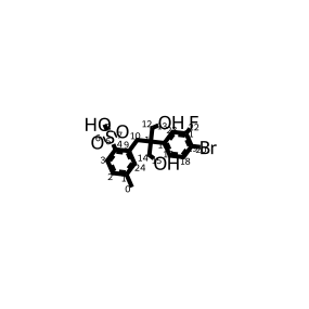 Cc1ccc(S(=O)(=O)O)c(CC(CO)(CO)c2ccc(Br)c(F)c2)c1